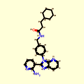 Nc1ncccc1-c1nc2cccnc2n1-c1ccc(CNC(=O)CCC2CCCCC2)cc1